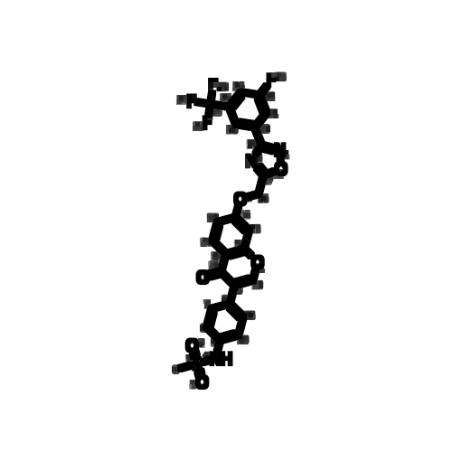 CS(=O)(=O)Nc1ccc(-c2coc3cc(OCc4nc(-c5cc(F)cc(C(F)(F)F)c5)no4)ccc3c2=O)cc1